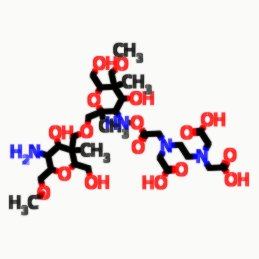 COCC1OC(CO)C(C)(COCC2(C)OC(CO)C(C)(COC)C(O)C2NOC(=O)CN(CCN(CC(=O)O)CC(=O)O)CC(=O)O)C(O)C1N